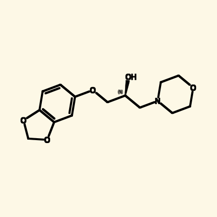 O[C@H](COc1ccc2c(c1)OCO2)CN1CCOCC1